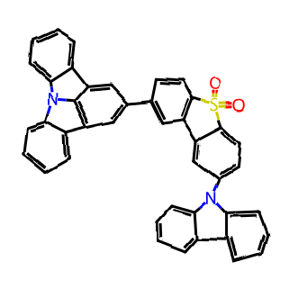 O=S1(=O)c2ccc(-c3cc4c5ccccc5n5c6ccccc6c(c3)c45)cc2-c2cc(-n3c4ccccc4c4ccccc43)ccc21